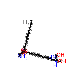 CCCCCCCCCCCCCCCCCCOP(=O)(OCCN)OCCCCCCCCCCCCCCCCCC(NCCO)NCCO